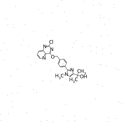 Cn1cc(C(C)(C)O)nc1-c1ccc(COc2nc(Cl)nc3cccnc23)cc1